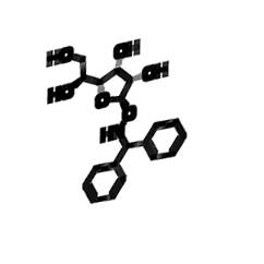 OC[C@H](O)[C@H]1O[C@H](ONC(c2ccccc2)c2ccccc2)[C@@H](O)[C@H]1O